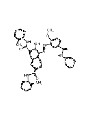 COc1ccc(C(=O)Nc2ccccc2)cc1/N=N/c1c(O)c(C(=O)Nc2ccccc2C)cc2cc(C(=O)Nc3ccccc3C)ccc12